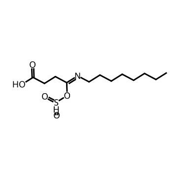 CCCCCCCCN=C(CCC(=O)O)O[SH](=O)=O